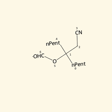 CCCCCC(CC#N)(CCCCC)O[C]=O